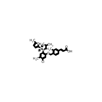 Cc1ccc(S(=O)(=O)N(CC(C)C)c2cc(C)c(Cl)cc2OCc2ccc(C=CC(=O)O)cc2C)o1